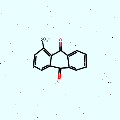 O=C1c2ccccc2C(=O)c2c1cccc2S(=O)(=O)O